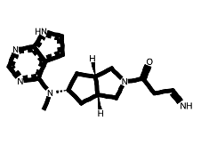 CN(c1ncnc2[nH]ccc12)[C@@H]1C[C@@H]2CN(C(=O)CC=N)C[C@@H]2C1